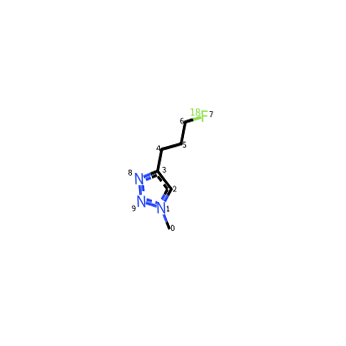 Cn1cc(CCC[18F])nn1